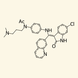 CC(=O)N(CCCN(C)C)c1ccc(NC(=C2C(=O)Nc3cc(Cl)ccc32)c2ccc3cccnc3c2)cc1